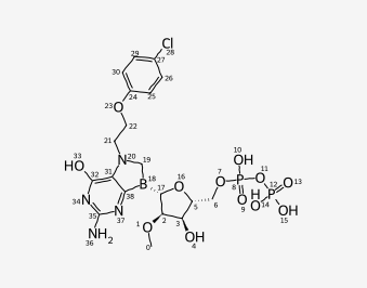 CO[C@@H]1[C@H](O)[C@@H](COP(=O)(O)OP(=O)(O)O)O[C@H]1B1CN(CCOc2ccc(Cl)cc2)c2c(O)nc(N)nc21